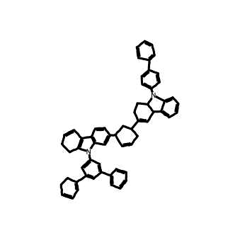 C1=CCCC(c2cc(-c3ccccc3)cc(-n3c4c(c5ccc(C6C=CCC(C7=CC8c9ccccc9N(c9ccc(-c%10ccccc%10)cc9)C8CC7)C6)cc53)C=CCC4)c2)=C1